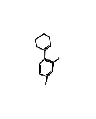 Fc1ccc(C2=CCCCC2)c(F)c1